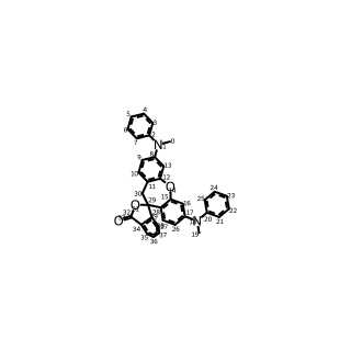 CN(c1ccccc1)c1ccc2c(c1)Oc1cc(N(C)c3ccccc3)ccc1C1(C2)OC(=O)c2ccccc21